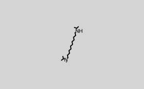 CC(C)NCCCCCCCCCCCCN(C)C(C)C